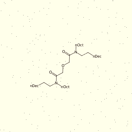 CCCCCCCCCCCCN(CCCCCCCC)C(=O)COCC(=O)N(CCCCCCCC)CCCCCCCCCCCC